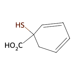 O=C(O)C1(S)C=CC=CC1